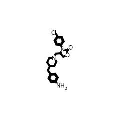 Nc1ccc(CC2CCN(CC3COC(=O)N3c3ccc(Cl)cc3)CC2)cc1